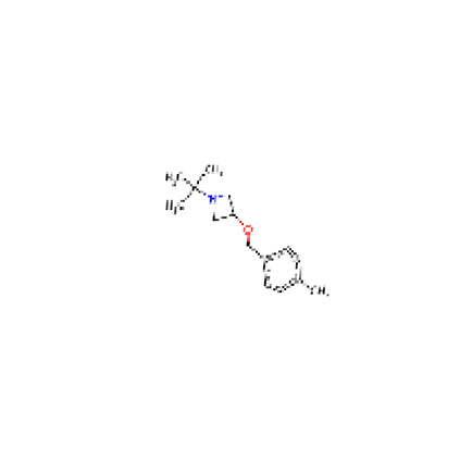 Cc1ccc(COC2CN(C(C)(C)C)C2)cc1